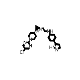 Clc1cnc(N2CCC([C@H]3C[C@H]3CCNc3ccc(-c4ccn[nH]4)cc3)CC2)nc1